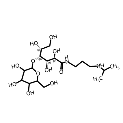 CC(C)NCCCNC(=O)[C@H](O)[C@@H](O)[C@H](OC1OC(CO)C(O)C(O)C1O)[C@H](O)CO